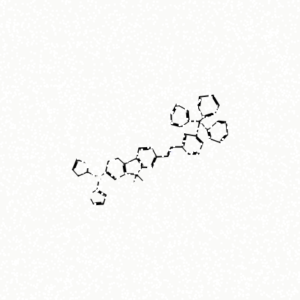 CCC1(CC)C2=C(CCC(N(c3ccco3)C3CC=CO3)=C2)c2ccc(/C=C/c3cccc4c3-c3ccccc3C4(c3ccccc3)c3ccccc3)cc21